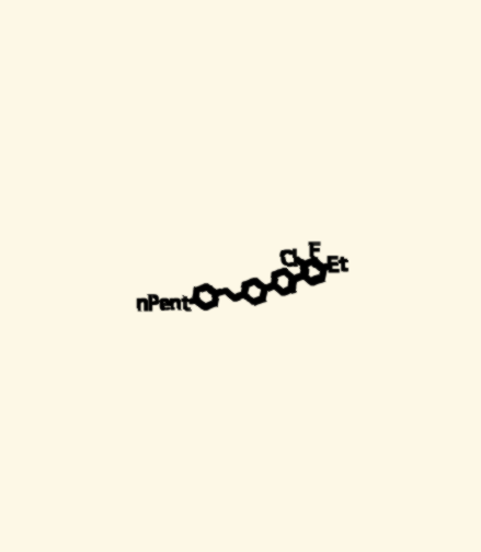 CCCCCC1CCC(CCC2CCC(C3CC=C(c4ccc(CC)c(F)c4Cl)CC3)CC2)CC1